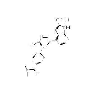 CN(C)C(=O)c1ccc(-c2cc(-c3ccnc4[nH]c(C(=O)O)cc34)cnc2N)nc1